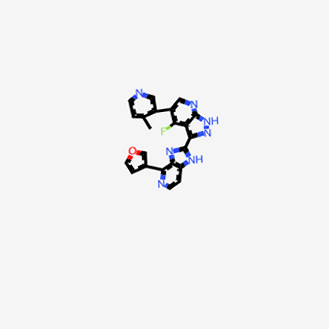 Cc1ccncc1-c1cnc2[nH]nc(-c3nc4c(-c5ccoc5)nccc4[nH]3)c2c1F